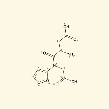 NC(CC(=O)O)C(=O)N(CC(=O)O)c1ccco1